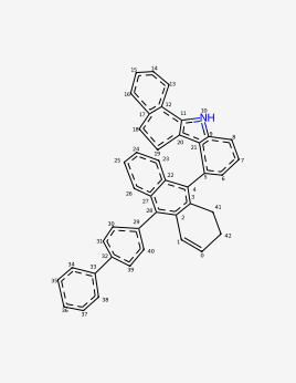 C1=Cc2c(c(-c3cccc4[nH]c5c6ccccc6ccc5c34)c3ccccc3c2-c2ccc(-c3ccccc3)cc2)CC1